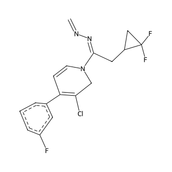 C=N/N=C(/CC1CC1(F)F)N1C=CC(c2cccc(F)c2)=C(Cl)C1